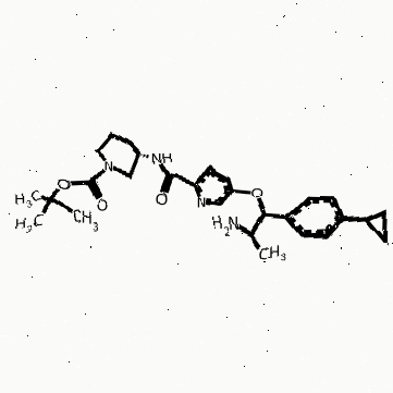 CC(N)C(Oc1ccc(C(=O)N[C@H]2CCCN(C(=O)OC(C)(C)C)C2)nc1)c1ccc(C2CC2)cc1